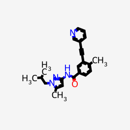 Cc1ccc(C(=O)Nc2cc(C)n(CC(C)C)n2)cc1C#Cc1cccnc1